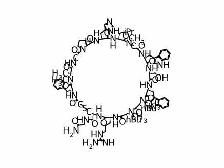 CCCC[C@H]1C(=O)N(C)[C@@H](CCCC)C(=O)N[C@@H](CCCNC(=N)N)C(=O)N[C@H](C(=O)NCC(N)=O)CSCC(=O)N[C@@H](Cc2ccccc2)C(=O)N(C)[C@@H](C)C(=O)NCC(=O)N2CCC[C@H]2C(=O)N[C@@H](Cc2cnc[nH]2)C(=O)N[C@@H](CC(C)C)C(=O)N(C)CC(=O)N[C@@H](Cc2c[nH]c3ccccc23)C(=O)N[C@@H](CO)C(=O)N[C@@H](Cc2c[nH]c3ccccc23)C(=O)N1C